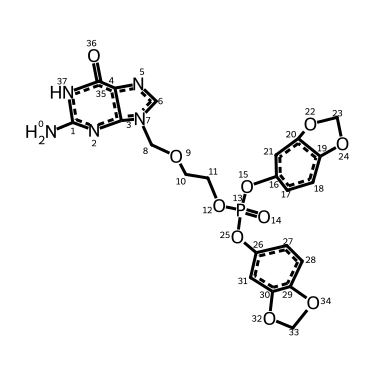 Nc1nc2c(ncn2COCCOP(=O)(Oc2ccc3c(c2)OCO3)Oc2ccc3c(c2)OCO3)c(=O)[nH]1